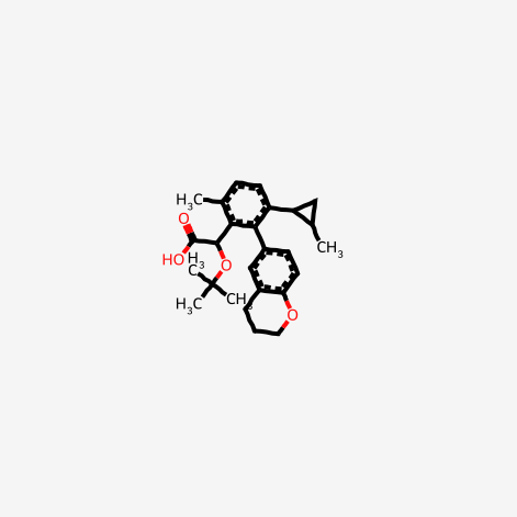 Cc1ccc(C2CC2C)c(-c2ccc3c(c2)CCCO3)c1C(OC(C)(C)C)C(=O)O